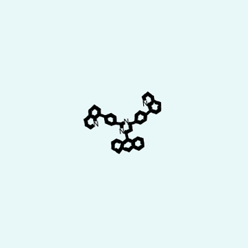 c1ccc2c(-c3cc(-c4ccc(-c5cccc6cccnc56)cc4)nc(-c4ccc(-c5cccc6cccnc56)cc4)n3)c3ccccc3cc2c1